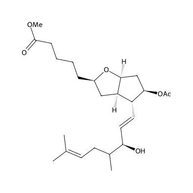 COC(=O)CCCC[C@@H]1C[C@@H]2[C@@H](C=C[C@@H](O)C(C)CC=C(C)C)[C@H](OC(C)=O)C[C@@H]2O1